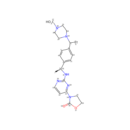 CCC(c1ccc([C@H](C)Nc2nccc(N3CCOC3=O)n2)cc1)N1CCN(C(=O)O)CC1